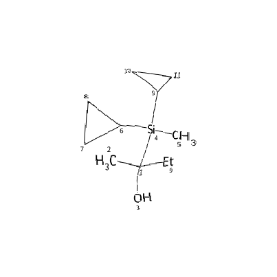 CCC(C)(O)[Si](C)(C1CC1)C1CC1